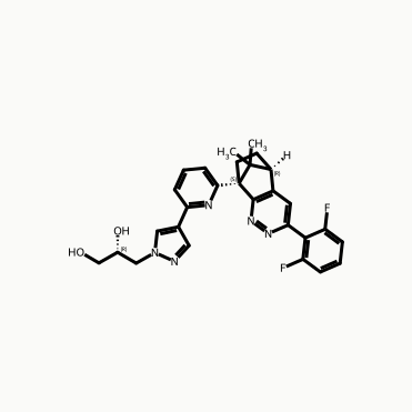 CC1(C)[C@H]2CC[C@]1(c1cccc(-c3cnn(C[C@@H](O)CO)c3)n1)c1nnc(-c3c(F)cccc3F)cc12